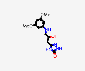 COc1cc(NCC(O)Cc2n[nH]c(=O)[nH]2)cc(OC)c1